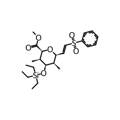 CC[Si](CC)(CC)O[C@H]1[C@@H](C)[C@@H](C(=O)OC)O[C@@H](C=CS(=O)(=O)c2ccccc2)[C@H]1C